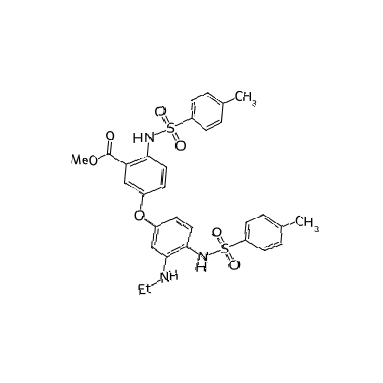 CCNc1cc(Oc2ccc(NS(=O)(=O)c3ccc(C)cc3)c(C(=O)OC)c2)ccc1NS(=O)(=O)c1ccc(C)cc1